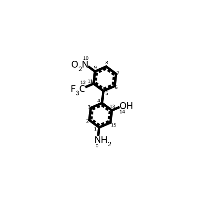 Nc1ccc(-c2cccc([N+](=O)[O-])c2C(F)(F)F)c(O)c1